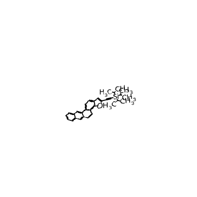 CC(C)[Si](C#Cc1cc2ccc3c4cc5ccccc5cc4ccc3c2o1)(C(C)C)C(C)C